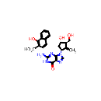 C=C1[C@H](CO)[C@@H](O)C[C@@H]1n1cnc2c(=O)[nH]c(N)nc21.O=C(O)c1ccc2ccccc2c1O